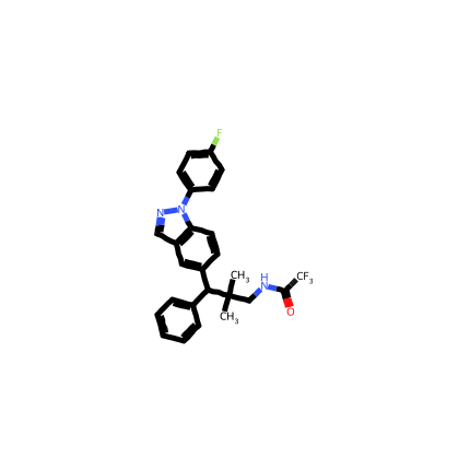 CC(C)(CNC(=O)C(F)(F)F)C(c1ccccc1)c1ccc2c(cnn2-c2ccc(F)cc2)c1